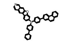 c1ccc(-c2ccc(N(c3ccc(-c4ccc5c(ccc6ccccc65)c4)cc3)c3ccc4c(c3)oc3cc5cnccc5cc34)cc2)cc1